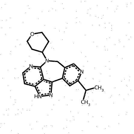 CC(C)c1cc2c(cn1)CN(C1CCOCC1)c1nccc3[nH]nc-2c13